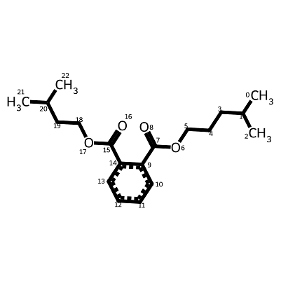 CC(C)CCCOC(=O)c1ccccc1C(=O)OCCC(C)C